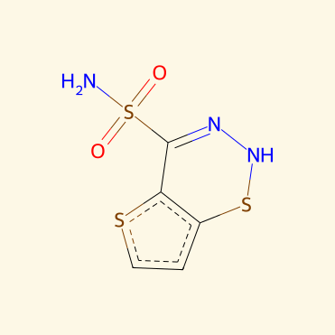 NS(=O)(=O)C1=NNSc2ccsc21